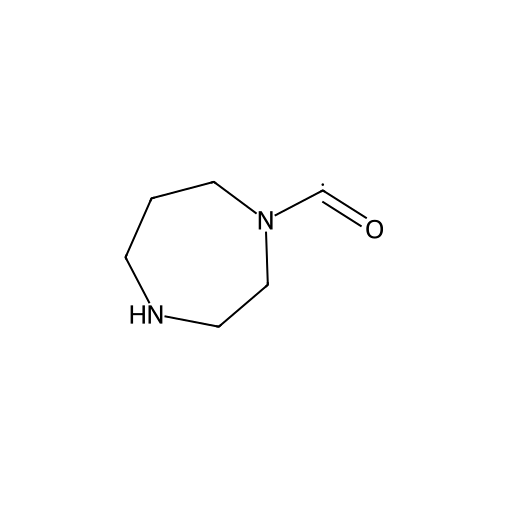 O=[C]N1CCCNCC1